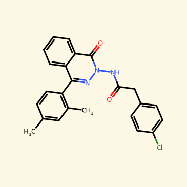 Cc1ccc(-c2nn(NC(=O)Cc3ccc(Cl)cc3)c(=O)c3ccccc23)c(C)c1